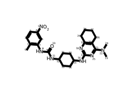 Cc1ccc([N+](=O)[O-])cc1NC(=O)NC1CCC(Nc2nc3c(c(N(C)C)n2)CCCC3)CC1